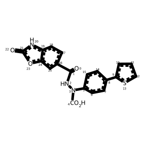 O=C(NN(C(=O)O)c1ccc(-c2cccs2)cc1)c1ccc2[nH]c(=O)oc2c1